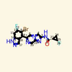 O=C(Nc1cn2cc(-c3c(Br)c(F)cc4[nH]ncc34)ncc2n1)[C@@H]1C[C@@H]1F